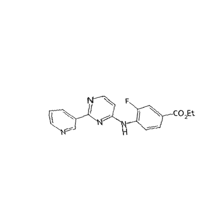 CCOC(=O)c1ccc(Nc2ccnc(-c3cccnc3)n2)c(F)c1